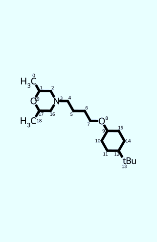 CC1CN(CCCCOC2CCC(C(C)(C)C)CC2)CC(C)O1